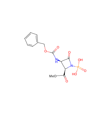 COC(=O)[C@H]1[C@@H](NC(=O)OCc2ccccc2)C(=O)N1P(=O)(O)O